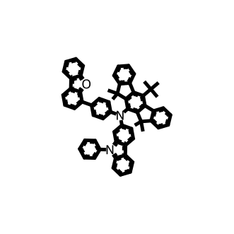 CC(C)(C)c1c2c(c(N(c3ccc(-c4cccc5c4oc4ccccc45)cc3)c3ccc4c5ccccc5n(-c5ccccc5)c4c3)c3c1-c1ccccc1C3(C)C)C(C)(C)c1ccccc1-2